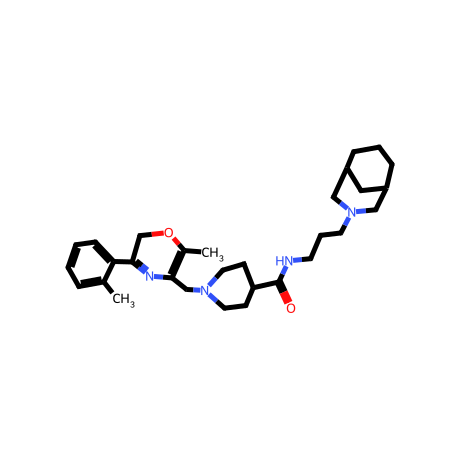 CC1=C(CN2CCC(C(=O)NCCCN3CC4CCCC(C4)C3)CC2)N=C(c2ccccc2C)CO1